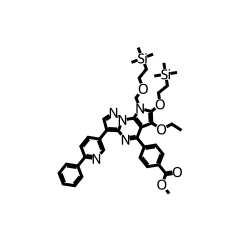 CCOc1c(OCC[Si](C)(C)C)n(COCC[Si](C)(C)C)c2c1c(-c1ccc(C(=O)OC)cc1)nc1c(-c3ccc(-c4ccccc4)nc3)cnn12